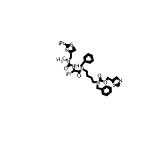 CC(C)c1nc(CN(C)C(=O)NC(C(=O)N(CCCCN(Cc2ccccc2)C(=O)OCc2cncs2)Cc2ccccc2)C(C)C)cs1